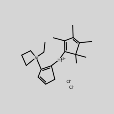 CC[Si]1(C2=[C]([Hf+2][C]3=C(C)C(C)=C(C)C3(C)C)CC=C2)CCC1.[Cl-].[Cl-]